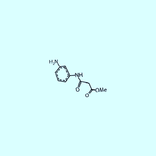 COC(=O)CC(=O)Nc1cccc(N)c1